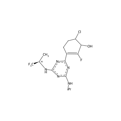 CC(C)Nc1nc(N[C@H](C)C(F)(F)F)nc(C2=C(F)C(O)C(Cl)CC2)n1